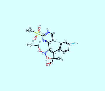 CCON1OC(C)(C=O)C(c2ccc(F)cc2)=C1c1ccnc(S(C)(=O)=O)n1